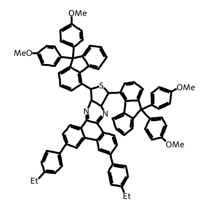 CCc1ccc(-c2ccc3c4c(c5ccc(-c6ccc(CC)cc6)cc5c3c2)=NC2C(c3cccc5c3-c3ccccc3C5(c3ccc(OC)cc3)c3ccc(OC)cc3)SC(c3cccc5c3-c3ccccc3C5(c3ccc(OC)cc3)c3ccc(OC)cc3)C2N=4)cc1